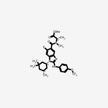 COC(=O)[C@H](C)N(C)C(=O)c1cc2nc(Nc3ccc(OC(F)(F)F)cc3)n([C@@H]3C[C@H](C)CC(C)(C)C3)c2cc1F